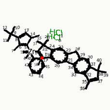 Cl.Cl.[CH2]=[Zr]([CH3])([C]1=C(C)C(C(C)(C)C)=CC1C)([C]1=C(C)c2cc3c(cc2C1(C)C)Cc1cc2c(cc1-3)C(C)=CC2(C)C)[c]1ccccc1